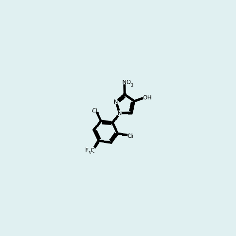 O=[N+]([O-])c1nn(-c2c(Cl)cc(C(F)(F)F)cc2Cl)cc1O